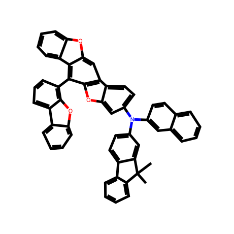 CC1(C)c2ccccc2-c2ccc(N(c3ccc4ccccc4c3)c3ccc4c(c3)oc3c(-c5cccc6c5oc5ccccc56)c5c(cc34)oc3ccccc35)cc21